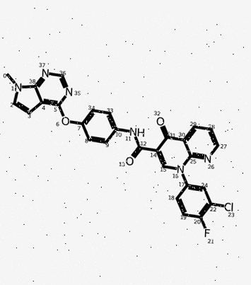 Cn1ccc2c(Oc3ccc(NC(=O)c4cn(-c5ccc(F)c(Cl)c5)c5ncccc5c4=O)cc3)ncnc21